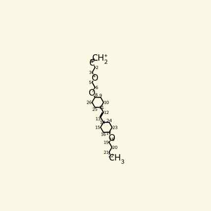 [CH2+][CH-]CCOCCOC1CCC(C=CC2CCC(OCCCC)CC2)CC1